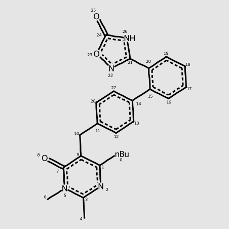 CCCCc1nc(C)n(C)c(=O)c1Cc1ccc(-c2ccccc2-c2noc(=O)[nH]2)cc1